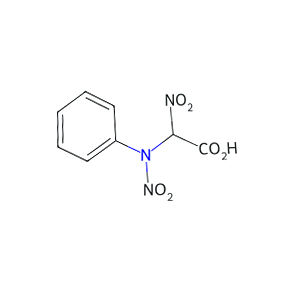 O=C(O)C(N(c1ccccc1)[N+](=O)[O-])[N+](=O)[O-]